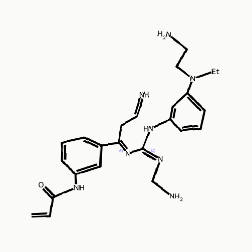 C=CC(=O)Nc1cccc(/C(CC=N)=N/C(=N\CN)Nc2cccc(N(CC)CCN)c2)c1